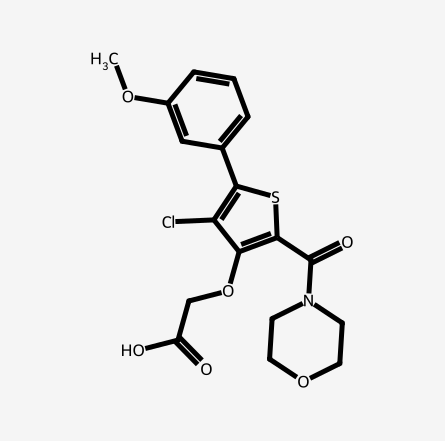 COc1cccc(-c2sc(C(=O)N3CCOCC3)c(OCC(=O)O)c2Cl)c1